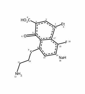 CCn1cc(C(=O)O)c(=O)c2c(SCCN)ccc(F)c21.[NaH]